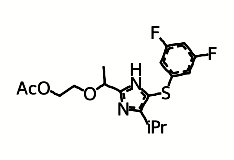 CC(=O)OCCOC(C)c1nc(C(C)C)c(Sc2cc(F)cc(F)c2)[nH]1